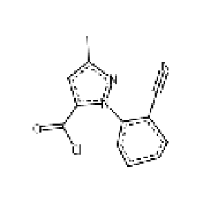 Cc1cc(C(=O)Cl)n(-c2ccccc2C#N)n1